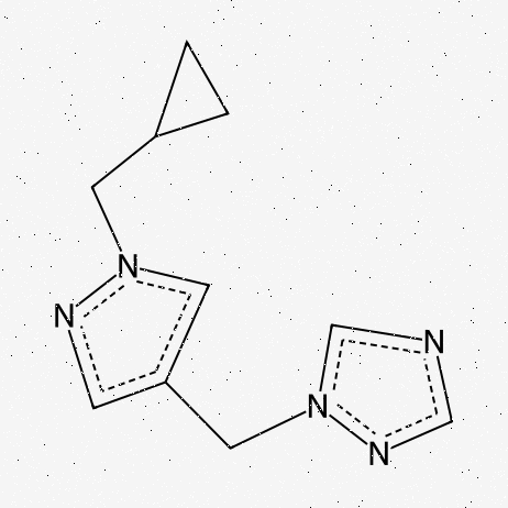 c1ncn(Cc2cnn(CC3CC3)c2)n1